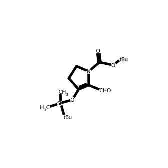 CC(C)(C)OC(=O)N1CCC(O[Si](C)(C)C(C)(C)C)=C1C=O